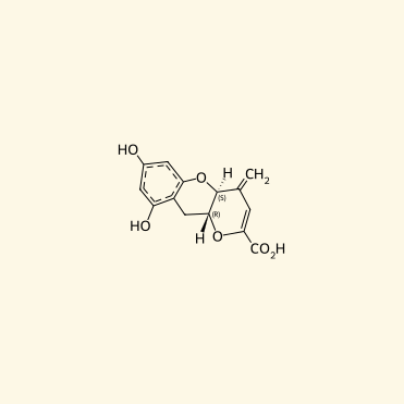 C=C1C=C(C(=O)O)O[C@@H]2Cc3c(O)cc(O)cc3O[C@@H]12